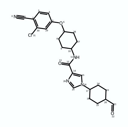 N#Cc1ccc(OC2CCC(NC(=O)c3cn(C4CCC(C=O)CC4)cn3)CC2)cc1Cl